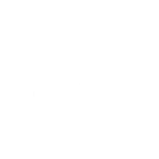 CCOCC(CC)OC(O)COC=O